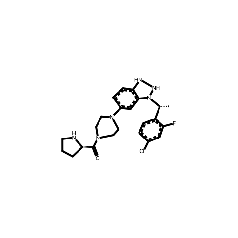 C[C@H](c1ccc(Cl)cc1F)N1NNc2ccc(N3CCN(C(=O)[C@H]4CCCN4)CC3)cc21